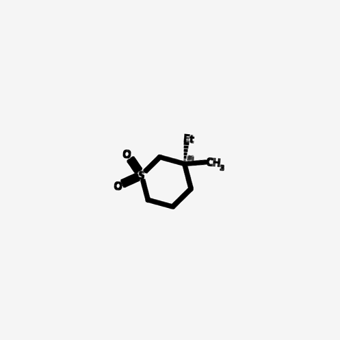 CC[C@]1(C)CCCS(=O)(=O)C1